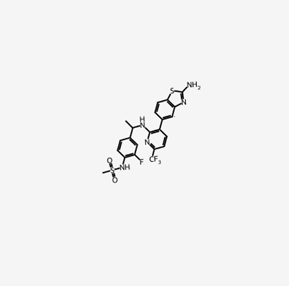 CC(Nc1nc(C(F)(F)F)ccc1-c1[c]c2nc(N)sc2cc1)c1ccc(NS(C)(=O)=O)c(F)c1